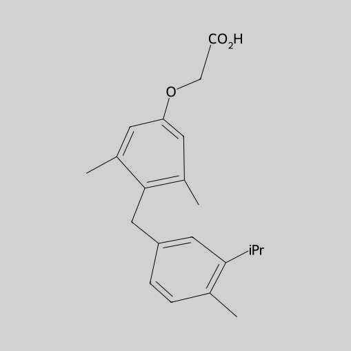 Cc1ccc(Cc2c(C)cc(OCC(=O)O)cc2C)cc1C(C)C